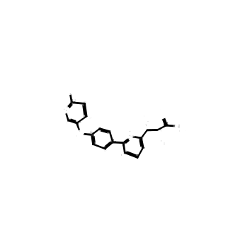 NC(=O)[C@H](O)[C@@H](O)c1cccc(-c2ccc(Oc3ccc(Cl)nc3)cc2)n1